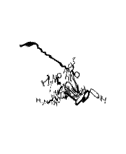 CCCCCCCCCCCCCCCC(=O)N[C@@H](CCSC)C(=O)NCC(=O)N[C@@H](Cc1ccc(O)cc1)C(=O)N[C@@H](CCC(N)=O)C(=O)N[C@@H](CCCCN)C(=O)NC